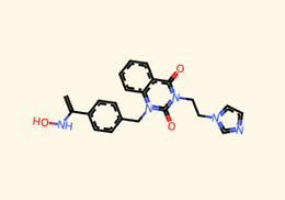 C=C(NO)c1ccc(Cn2c(=O)n(CCn3ccnc3)c(=O)c3ccccc32)cc1